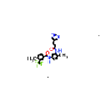 Cc1ccc(NC(=O)c2ccc(C)c(C(F)(F)F)c2)cc1NC(=O)C=Cc1cncnc1